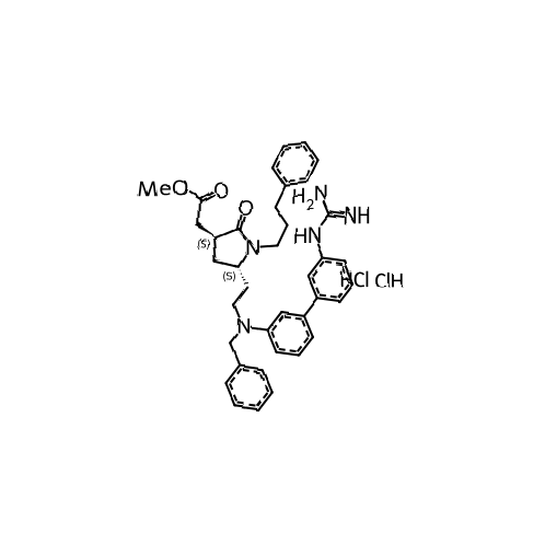 COC(=O)C[C@@H]1C[C@@H](CCN(Cc2ccccc2)c2cccc(-c3cccc(NC(=N)N)c3)c2)N(CCCc2ccccc2)C1=O.Cl.Cl